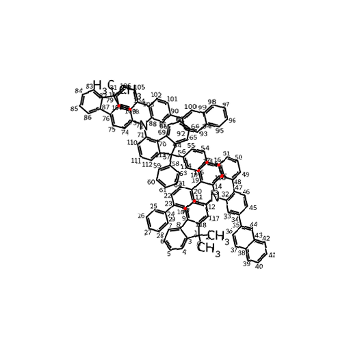 CC1(C)c2ccccc2-c2ccc(N(c3ccccc3-c3ccc(-c4ccccc4)cc3)c3cc(-c4ccc5ccccc5c4)ccc3-c3cccc(-c4ccc(C5(c6ccccc6)c6ccccc6-c6c(N(c7ccc8c(c7)C(C)(C)c7ccccc7-8)c7cc(-c8ccc9ccccc9c8)ccc7-c7ccccc7)cccc65)cc4)c3)cc21